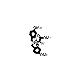 COC(=O)[C@@H](C(C)C)S(=O)(=O)N(Cc1ccc(OC)cc1)Cc1ccc(OC)cc1